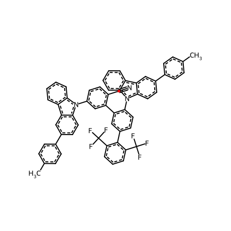 Cc1ccc(-c2ccc3c(c2)c2ccccc2n3-c2ccc(C#N)c(-c3cc(-c4c(C(F)(F)F)cccc4C(F)(F)F)ccc3-n3c4ccccc4c4cc(-c5ccc(C)cc5)ccc43)c2)cc1